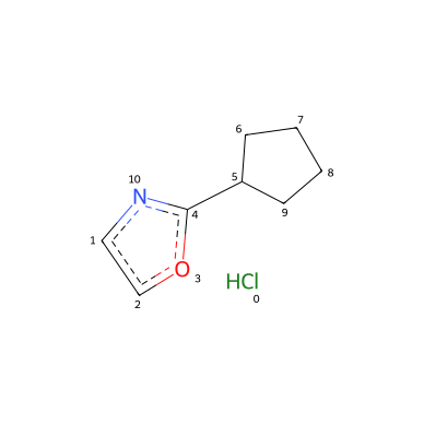 Cl.c1coc(C2CCCC2)n1